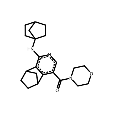 O=C(c1cnc(NC23CCC(CC2)C3)c2c1C1CCC2C1)N1CCOCC1